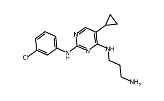 NCCCNc1nc(Nc2cccc(Cl)c2)ncc1C1CC1